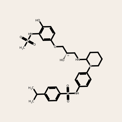 CC(C)c1ccc(S(=O)(=O)Nc2ccc(N3CCCCC3NC[C@H](O)COc3ccc(O)c(NS(C)(=O)=O)c3)cc2)cc1